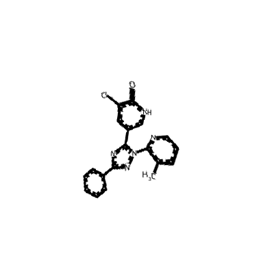 Cc1cccnc1-n1nc(-c2ccccc2)nc1-c1c[nH]c(=O)c(Cl)c1